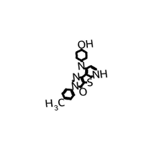 Cc1ccc(-n2cnc3c(c2=O)SC2NC=CC(N=C4CCC(O)CC4)=C32)cc1